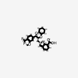 COc1cc([C@@H](O)[C@H](Cn2cc3cccc(C(=O)O)c3n2)OC2CCCCC2)ccc1C(F)F